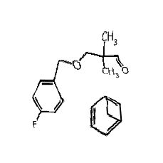 CC(C)(C=O)COCc1ccc(F)cc1.c1cc2cc(c1)C2